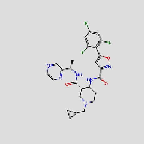 C[C@@H](NC(=O)[C@H]1CN(CC2CC2)CC[C@@H]1NC(=O)c1cc(-c2c(F)cc(F)cc2F)on1)c1cnccn1